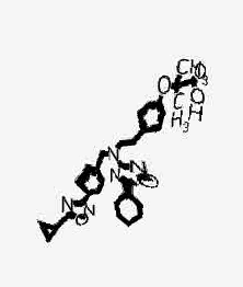 CC(C)(Oc1ccc(CCN(Cc2ccc(-c3noc(C4CC4)n3)cc2)c2noc(C3CCCCC3)n2)cc1)C(=O)O